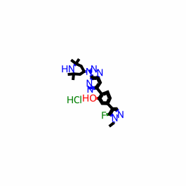 CCn1ncc(-c2ccc(-c3cc4nnn(C5CC(C)(C)NC(C)(C)C5)c4nn3)c(O)c2)c1F.Cl